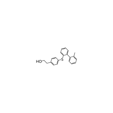 Cc1ccccc1-c1ccccc1Sc1ccc(CCO)cc1